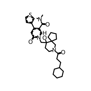 CN(C)C(=O)c1cn(CC2(O)CCN(C(=O)CCC3CCCCC3)CC23CCCC3)c(=O)cc1-c1ccsc1